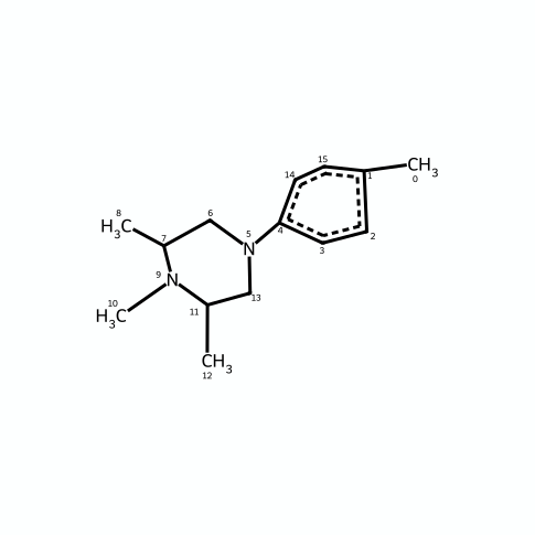 Cc1ccc(N2CC(C)N(C)C(C)C2)cc1